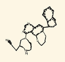 N#CCC1CN(c2ncnc3cc(-c4cccc5ccccc45)c4c(c23)OCCC4)CCN1